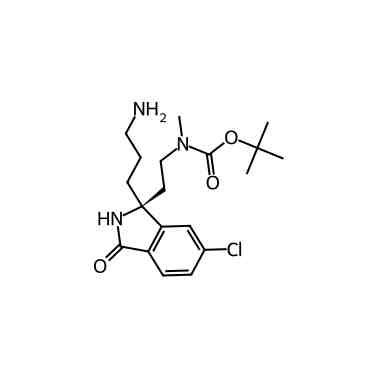 CN(CC[C@]1(CCCN)NC(=O)c2ccc(Cl)cc21)C(=O)OC(C)(C)C